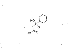 O=C(O)CP(=O)(O)C1CCCCC1